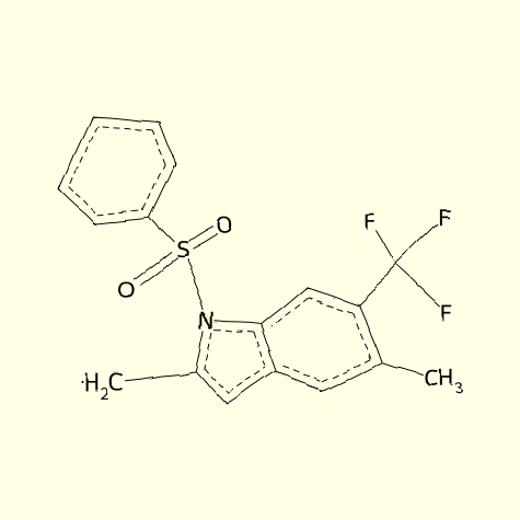 [CH2]c1cc2cc(C)c(C(F)(F)F)cc2n1S(=O)(=O)c1ccccc1